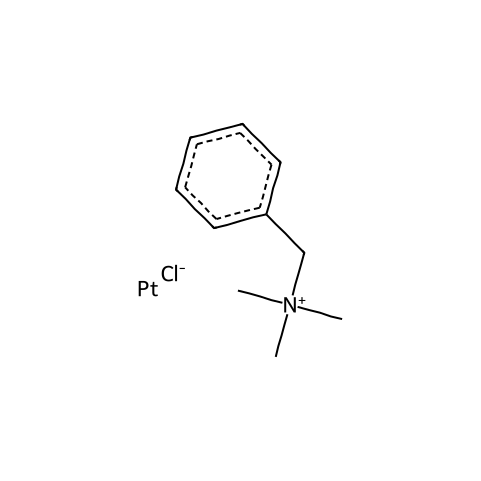 C[N+](C)(C)Cc1ccccc1.[Cl-].[Pt]